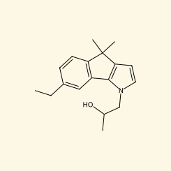 CCc1ccc2c(c1)-c1c(ccn1CC(C)O)C2(C)C